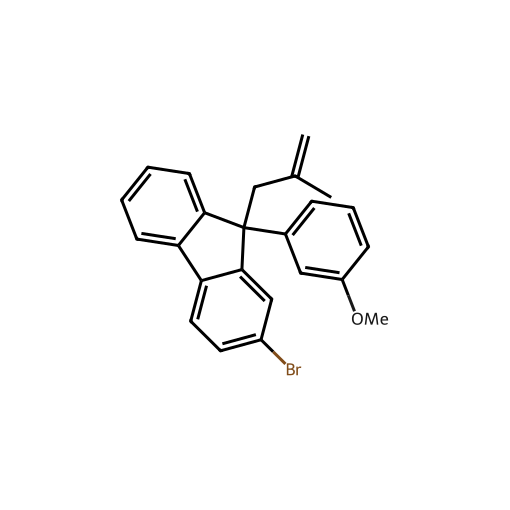 C=C(C)CC1(c2cccc(OC)c2)c2ccccc2-c2ccc(Br)cc21